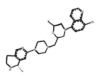 CC1CN(c2ccc(C#N)c3ncccc23)CC(CN2CCN(c3cc4c(cn3)CCN[C@H]4C)CC2)O1